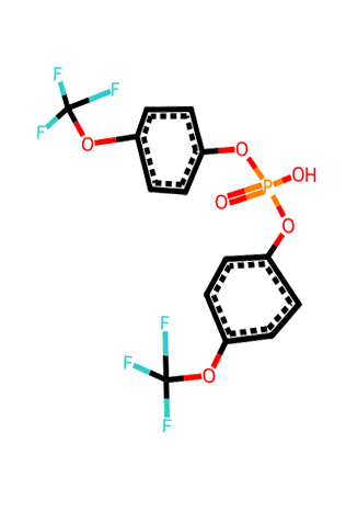 O=P(O)(Oc1ccc(OC(F)(F)F)cc1)Oc1ccc(OC(F)(F)F)cc1